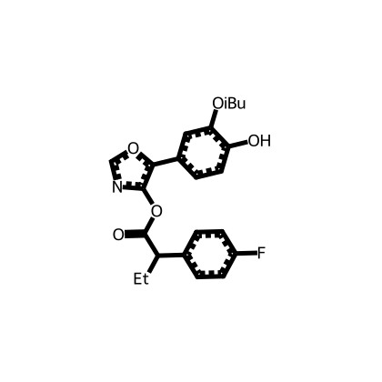 CCC(C(=O)Oc1ncoc1-c1ccc(O)c(OCC(C)C)c1)c1ccc(F)cc1